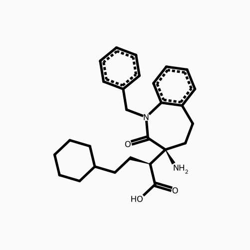 N[C@]1([C@H](CCC2CCCCC2)C(=O)O)CCc2ccccc2N(Cc2ccccc2)C1=O